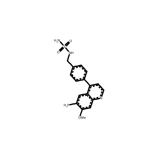 COc1cc2nccc(-c3ccc(CNS(N)(=O)=O)cc3)c2cc1P